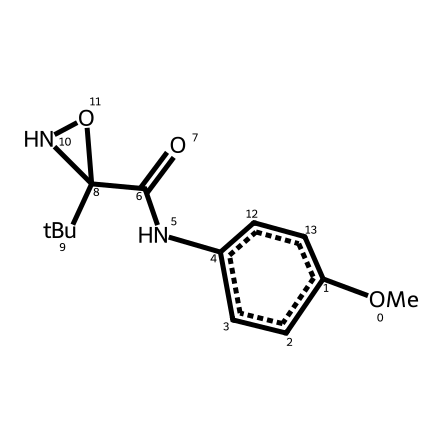 COc1ccc(NC(=O)C2(C(C)(C)C)NO2)cc1